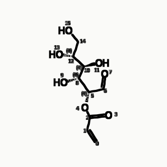 C=CC(=O)O[C@@H](C=O)[C@H](O)[C@H](O)[C@H](O)CO